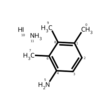 Cc1ccc(N)c(C)c1C.I.N